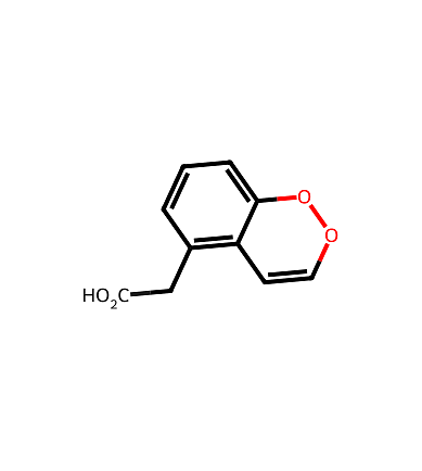 O=C(O)Cc1cccc2c1C=COO2